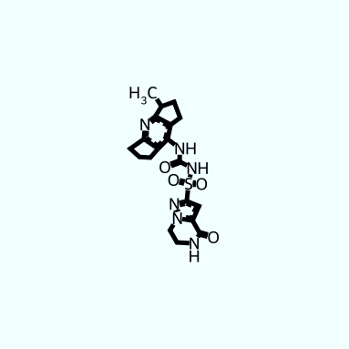 CC1CCc2c1nc1c(c2NC(=O)NS(=O)(=O)c2cc3n(n2)CCNC3=O)CCC1